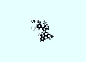 CC(c1oc(=O)c2ccccc2c1C1=CCNCC1)n1nc(-c2cc(OC=O)cc(C(F)(F)F)c2)c2c(N)ncnc21